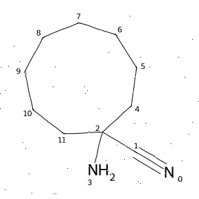 N#CC1(N)CCCCCCCC1